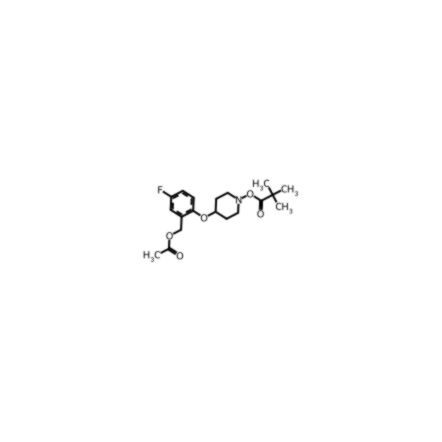 CC(=O)OCc1cc(F)ccc1OC1CCN(OC(=O)C(C)(C)C)CC1